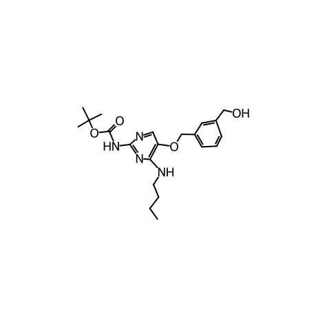 CCCCNc1nc(NC(=O)OC(C)(C)C)ncc1OCc1cccc(CO)c1